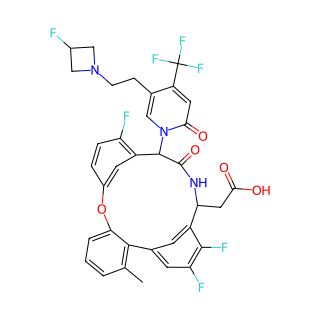 Cc1cccc2c1-c1cc(F)c(F)c(c1)C(CC(=O)O)NC(=O)C(n1cc(CCN3CC(F)C3)c(C(F)(F)F)cc1=O)c1cc(ccc1F)O2